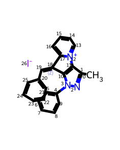 Cc1nn(-c2ccccc2)c2c1-[n+]1ccccc1/C2=C/c1ccccc1.[I-]